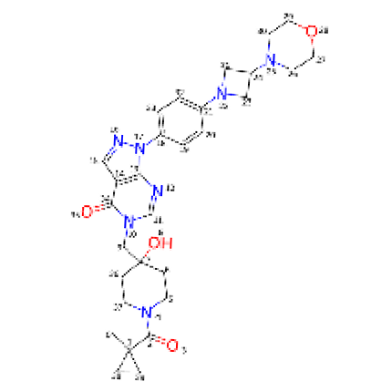 CC1(C(=O)N2CCC(O)(Cn3cnc4c(cnn4-c4ccc(N5CC(N6CCOCC6)C5)cc4)c3=O)CC2)CC1